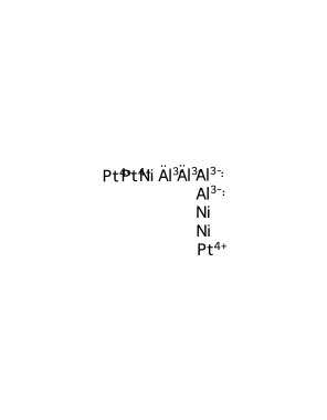 [Al-3].[Al-3].[Al-3].[Al-3].[Ni].[Ni].[Ni].[Pt+4].[Pt+4].[Pt+4]